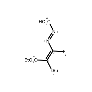 CCOC(=O)C(=C(CC)N=NC(=O)O)C(C)(C)C